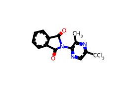 Cc1nc(C(Cl)(Cl)Cl)cnc1N1C(=O)c2ccccc2C1=O